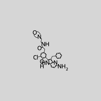 Nc1ccc2[nH]c(-c3cc(CC(=O)NCCN4CCOCC4)cc(Cl)c3O)c(Cc3ccccc3)c2n1